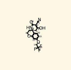 N#CC1=C(O)C[C@@]2(CCOc3cc(OCC(F)(F)F)ccc32)NC1=O